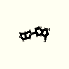 Ic1c[nH]c2ncc(N3CC4COCC4C3)cc12